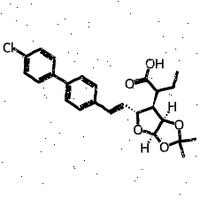 CCC(C(=O)O)[C@H]1[C@H]2OC(C)(C)O[C@H]2O[C@@H]1/C=C/c1ccc(-c2ccc(Cl)cc2)cc1